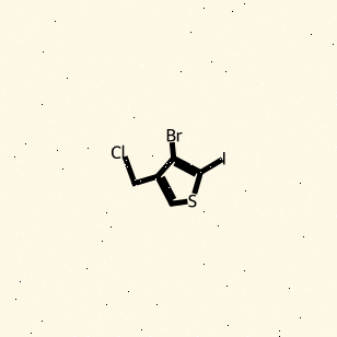 ClCc1csc(I)c1Br